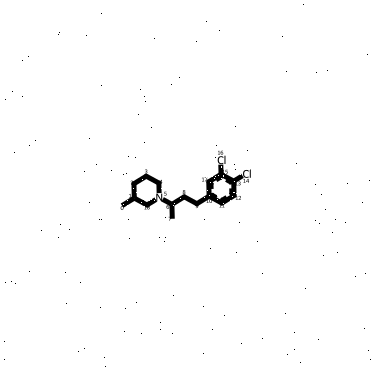 CC1CCCN(C(C)CCc2ccc(Cl)c(Cl)c2)C1